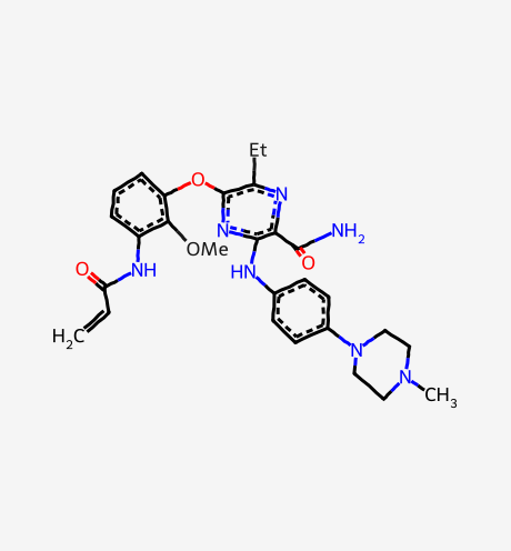 C=CC(=O)Nc1cccc(Oc2nc(Nc3ccc(N4CCN(C)CC4)cc3)c(C(N)=O)nc2CC)c1OC